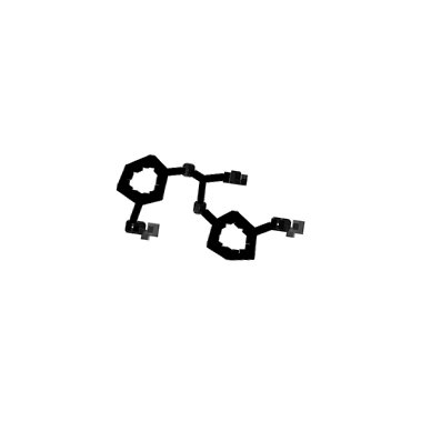 CCCCC(Oc1cccc(C(=O)O)c1)Oc1cccc(C(=O)O)c1